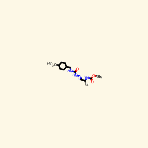 CCC(/C=N/NC(=O)NCC1CCC(C(=O)O)CC1)NC(=O)OC(C)(C)C